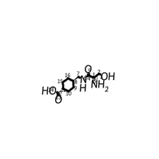 N[C@@H](CO)C(=O)NC[C@H]1CC[C@H](C(=O)O)CC1